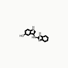 Oc1ccc2[nH]cc(Nc3nc4ccccc4[nH]3)c2c1